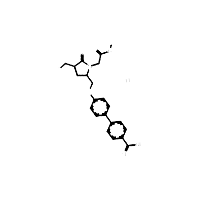 CCNC(=O)CN1C(=O)C(CC(=O)O)CC1COc1ccc(-c2ccc(C(=N)N)cc2)cc1.Cl.O